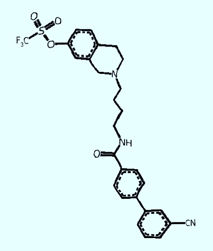 N#Cc1cccc(-c2ccc(C(=O)NCCCCN3CCc4ccc(OS(=O)(=O)C(F)(F)F)cc4C3)cc2)c1